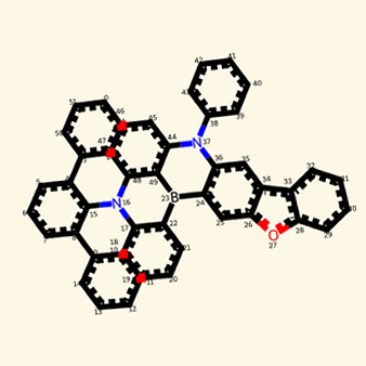 c1ccc(-c2cccc(-c3ccccc3)c2N2c3ccccc3B3c4cc5oc6ccccc6c5cc4N(c4ccccc4)c4cccc2c43)cc1